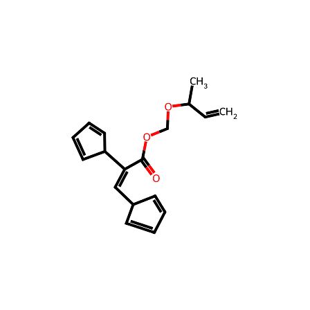 C=CC(C)OCOC(=O)C(=CC1C=CC=C1)C1C=CC=C1